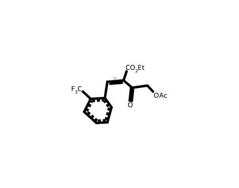 CCOC(=O)/C(=C/c1ccccc1C(F)(F)F)C(=O)COC(C)=O